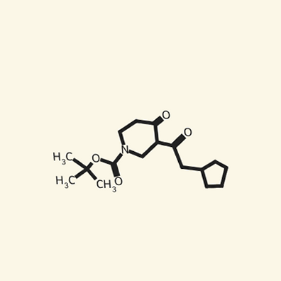 CC(C)(C)OC(=O)N1CCC(=O)C(C(=O)CC2CCCC2)C1